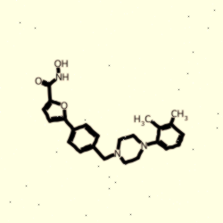 Cc1cccc(N2CCN(Cc3ccc(-c4ccc(C(=O)NO)o4)cc3)CC2)c1C